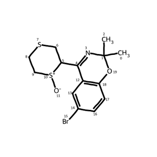 CC1(C)N=C(C2CSCC[S+]2[O-])c2cc(Br)ccc2O1